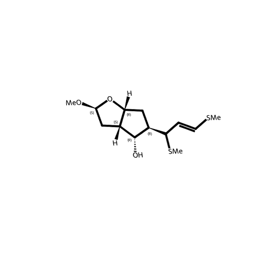 CO[C@@H]1C[C@H]2[C@@H](O)[C@H](C(C=CSC)SC)C[C@H]2O1